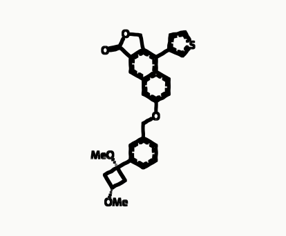 CO[C@H]1C[C@](OC)(c2cccc(COc3ccc4c(-c5ccsc5)c5c(cc4c3)C(=O)OC5)c2)C1